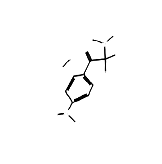 CCN(CC)c1ccc(C(=O)C(O)(CC)N(C)C)cc1.CI